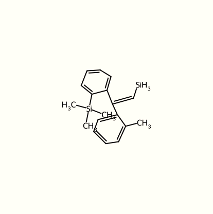 Cc1ccccc1C(=C[SiH3])c1ccccc1[Si](C)(C)C